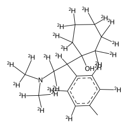 [2H]c1c([2H])c(C([2H])(C([2H])([2H])N(C([2H])([2H])[2H])C([2H])([2H])[2H])C2(O)C([2H])([2H])C([2H])([2H])C([2H])([2H])C([2H])([2H])C2([2H])[2H])c([2H])c([2H])c1C